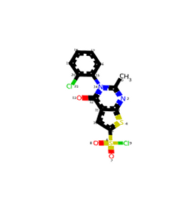 Cc1nc2sc(S(=O)(=O)Cl)cc2c(=O)n1-c1ccccc1Cl